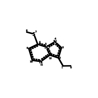 CCc1cnn2c(SC)ccnc12